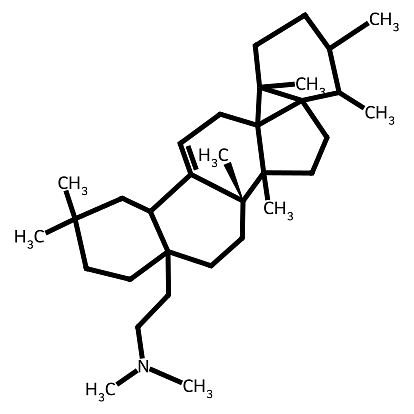 CC1CCC2(C)C3(CCC4(C)C23CC=C2C3CC(C)(C)CCC3(CCN(C)C)CC[C@]24C)C1C